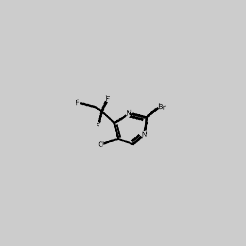 FC(F)(F)c1nc(Br)ncc1Cl